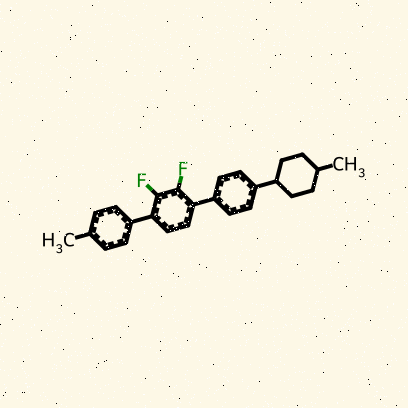 Cc1ccc(-c2ccc(-c3ccc(C4CCC(C)CC4)cc3)c(F)c2F)cc1